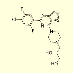 OCC(O)CN1CCN(c2nc(-c3cc(F)c(Cl)cc3F)nc3ccsc23)CC1